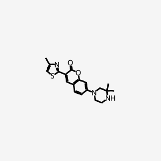 Cc1csc(-c2cc3ccc(N4CCNC(C)(C)C4)cc3oc2=O)n1